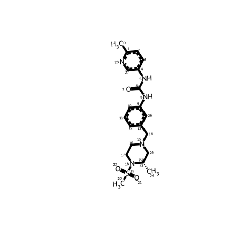 Cc1ccc(NC(=O)Nc2cccc(CN3CCN(S(C)(=O)=O)[C@@H](C)C3)c2)cn1